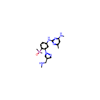 CNCc1cnn(-c2cc(Nc3nc(C)cc(NC)n3)ccc2P(C)(C)=O)c1